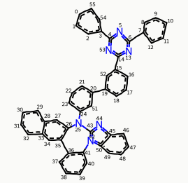 c1ccc(-c2nc(-c3ccccc3)nc(-c3cccc(-c4cccc(N5c6cc7ccccc7cc6-c6ccccc6-n6c5nc5ccccc56)c4)c3)n2)cc1